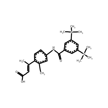 CC(=CC(=O)O)c1ccc(NC(=O)c2cc([Si](C)(C)C)cc([Si](C)(C)C)c2)cc1C